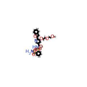 COCCOCCOc1cc(C(=O)NS(=O)(=O)c2ccccc2S(N)(=O)=O)cnc1-c1cc2ccccc2o1